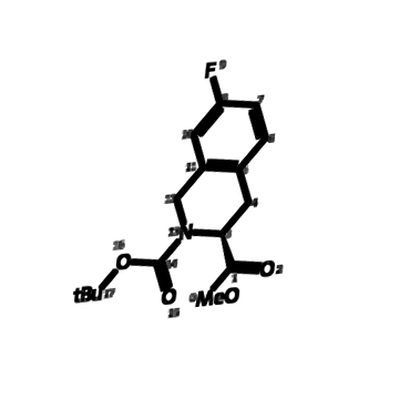 COC(=O)[C@@H]1Cc2ccc(F)cc2CN1C(=O)OC(C)(C)C